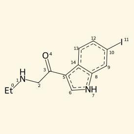 CCNCC(=O)c1c[nH]c2cc(I)ccc12